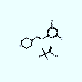 Clc1cc(Cl)cc(COC2CCNCC2)c1.O=C(O)C(F)(F)F